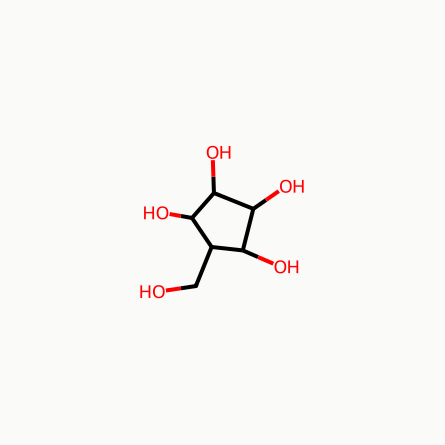 OCC1C(O)C(O)C(O)C1O